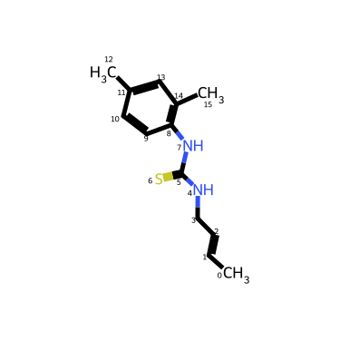 CC=CCNC(=S)Nc1ccc(C)cc1C